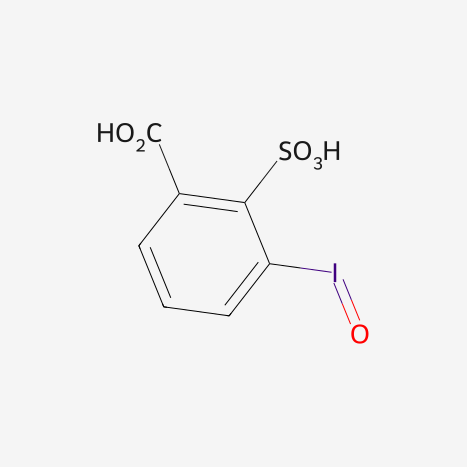 O=Ic1cccc(C(=O)O)c1S(=O)(=O)O